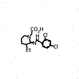 CCC1CCCN(CC(=O)O)C1=NNc1ccc(Cl)cc1Cl